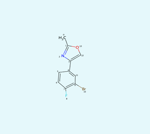 Cc1nc(-c2ccc(F)c(Br)c2)co1